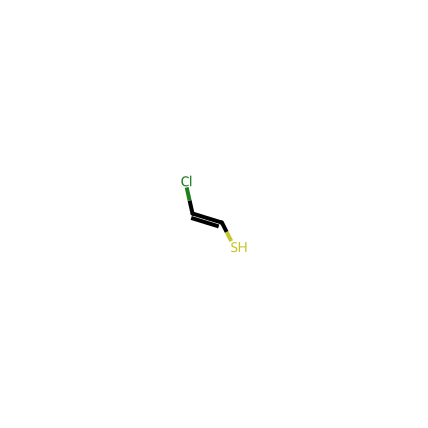 SC=CCl